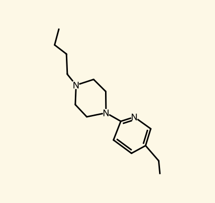 CCCCN1CCN(c2ccc(CC)cn2)CC1